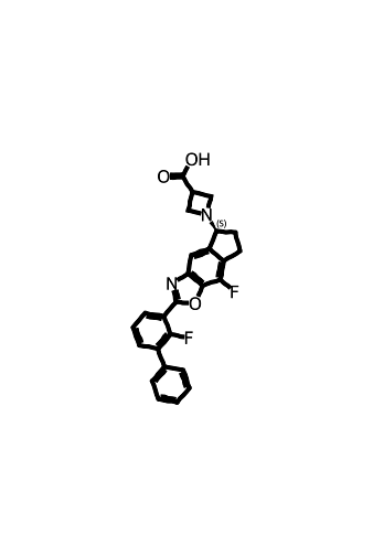 O=C(O)C1CN([C@H]2CCc3c2cc2nc(-c4cccc(-c5ccccc5)c4F)oc2c3F)C1